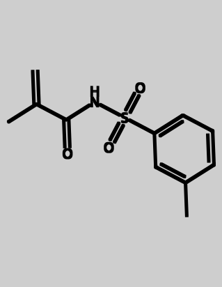 C=C(C)C(=O)NS(=O)(=O)c1cccc(C)c1